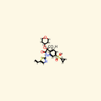 C=Cc1cnc(NC(=O)C(OC2CCOCC2)(C(=O)O)c2ccc(S(=O)(=O)C3CC3)cc2)s1